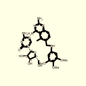 COc1cc(NCc2ccc3nc(N)nc(N)c3c2C)cc(OC)c1OC.Nc1ncn([C@@H]2O[C@H](CO)[C@@H](O)[C@H]2O)c(=O)n1